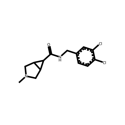 CN1CC2C(C1)C2C(=O)NCc1ccc(Cl)c(Cl)c1